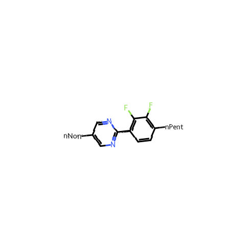 CCCCCCCCCc1cnc(-c2ccc(CCCCC)c(F)c2F)nc1